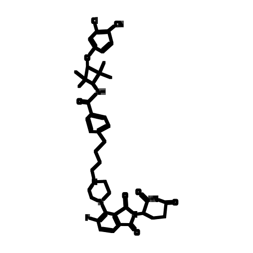 CC1(C)C(NC(=O)c2ccc(CCCCN3CCN(c4c(F)ccc5c4C(=O)N(C4CCC(=O)NC4=O)C5=O)CC3)cc2)C(C)(C)C1Oc1ccc(C#N)c(Cl)c1